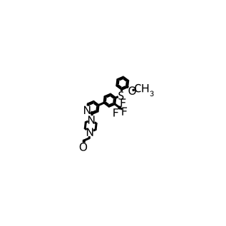 COc1ccccc1Sc1ccc(-c2ccnc(N3CCN(CC=O)CC3)c2)cc1C(F)(F)F